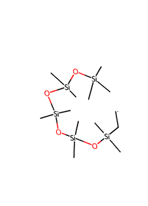 [CH2]C[Si](C)(C)O[Si](C)(C)O[Si](C)(C)O[Si](C)(C)O[Si](C)(C)C